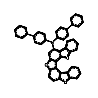 c1ccc(-c2ccc(N(c3ccc(-c4ccccc4)cc3)c3cc4oc5ccc6oc7ccccc7c6c5c4c4oc5ccccc5c34)cc2)cc1